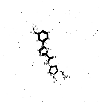 COC[C@H]1C[C@@H](NC(=O)c2ncc(-c3cccc(OC(F)(F)F)c3)o2)CN1C#N